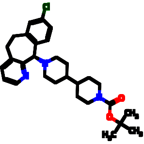 CC(C)(C)OC(=O)N1CCC(C2CCN([C@@H]3c4ccc(Cl)cc4CCc4cccnc43)CC2)CC1